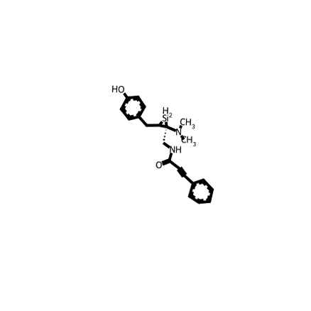 CN(C)[C@]1(CNC(=O)C#Cc2ccccc2)[SiH2]C1Cc1ccc(O)cc1